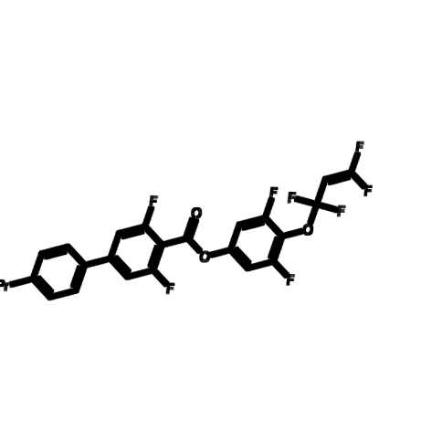 CCCc1ccc(-c2cc(F)c(C(=O)Oc3cc(F)c(OC(F)(F)C=C(F)F)c(F)c3)c(F)c2)cc1